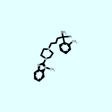 Cc1ccccc1C(N)(CCCN1CCN(c2nc3ccccc3n2C)CC1)C(C)C